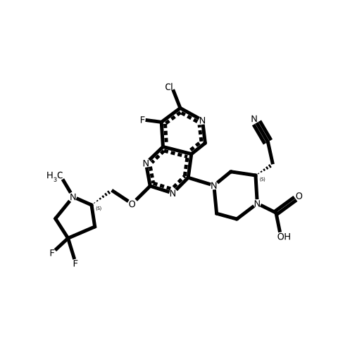 CN1CC(F)(F)C[C@H]1COc1nc(N2CCN(C(=O)O)[C@@H](CC#N)C2)c2cnc(Cl)c(F)c2n1